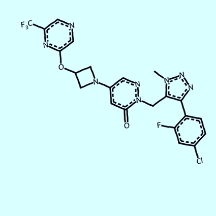 Cn1nnc(-c2ccc(Cl)cc2F)c1Cn1ncc(N2CC(Oc3cncc(C(F)(F)F)n3)C2)cc1=O